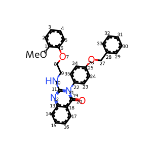 COc1ccccc1OCCNc1nc2ccccc2c(=O)n1-c1ccc(OCc2ccccc2)cc1